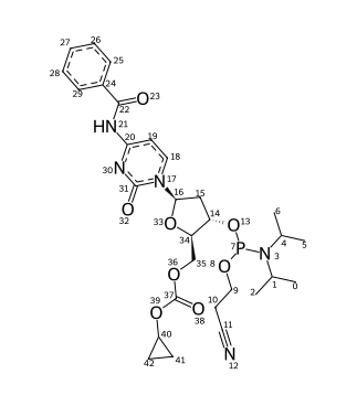 CC(C)N(C(C)C)P(OCCC#N)O[C@H]1C[C@H](n2ccc(NC(=O)c3ccccc3)nc2=O)O[C@@H]1COC(=O)OC1CC1